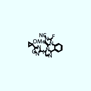 COC1(c2nc(N3C=NC4c5ccccc5N5C(=CN(C#N)C5F)N43)no2)CC1